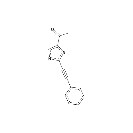 CC(=O)c1cnc(C#Cc2ccccc2)s1